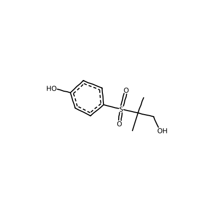 CC(C)(CO)S(=O)(=O)c1ccc(O)cc1